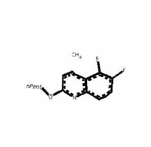 C.CCCCCOc1ccc2c(F)c(F)ccc2n1